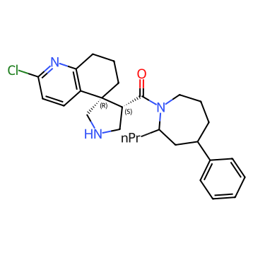 CCCC1CC(c2ccccc2)CCCN1C(=O)[C@@H]1CNC[C@]12CCCc1nc(Cl)ccc12